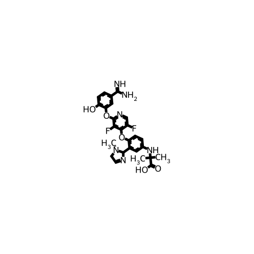 CN1CC=NC1c1cc(NC(C)(C)C(=O)O)ccc1Oc1c(F)cnc(Oc2cc(C(=N)N)ccc2O)c1F